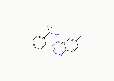 CC(Nc1ncnc2ccc(I)cc12)c1ccccc1